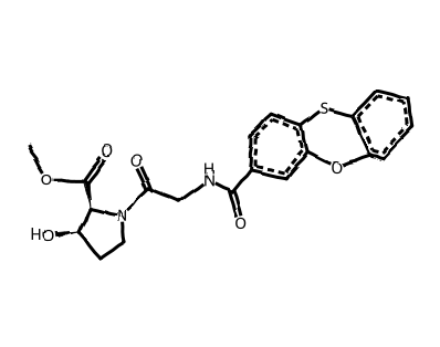 COC(=O)[C@@H]1[C@H](O)CCN1C(=O)CNC(=O)c1ccc2c(c1)Oc1ccccc1S2